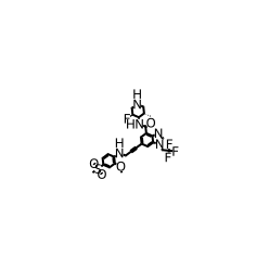 COc1cc(S(C)(=O)=O)ccc1NCC#Cc1cc(C(=O)N[C@@H]2[C@@H](C)CNC[C@@H]2F)c2ncn(CC(F)(F)F)c2c1